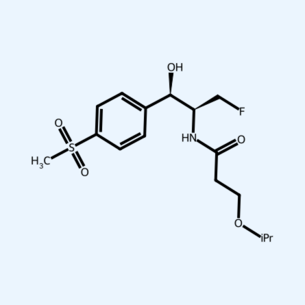 CC(C)OCCC(=O)N[C@H](CF)[C@H](O)c1ccc(S(C)(=O)=O)cc1